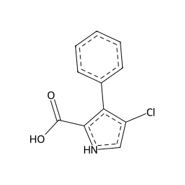 O=C(O)c1[nH]cc(Cl)c1-c1ccccc1